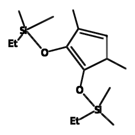 CC[Si](C)(C)OC1=C(O[Si](C)(C)CC)C(C)C=C1C